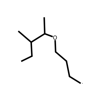 [CH2]CCCOC(C)C(C)CC